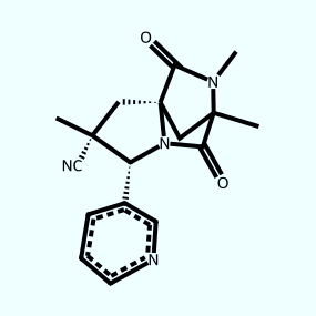 CN1C(=O)[C@@]23CC1(C)C(=O)N2[C@H](c1cccnc1)[C@](C)(C#N)C3